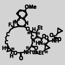 CC[C@@H]1[C@@H]2CN(C(=O)[C@H](C(C)(C)C)NC(=O)O[C@@H]3C[C@H]3CCCCC(F)(F)c3nc4ccc(OC)cc4nc3O2)[C@@H]1C(=O)N[C@]1(C(=O)NS(=O)(=O)C2CC2)C[C@H]1CC